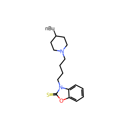 CCCCC1CCN(CCCCn2c(=S)oc3ccccc32)CC1